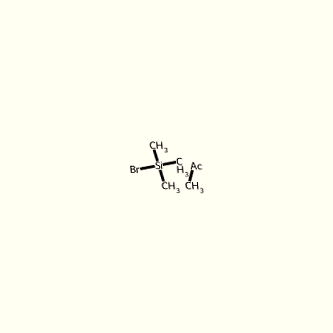 CC(C)=O.C[Si](C)(C)Br